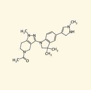 CC(=O)N1CCc2c(c(N3CC(C)(C)c4cc(C5=CN(C)NC5)ccc43)nn2C)C1